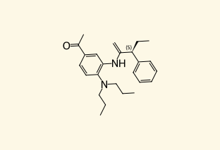 C=C(Nc1cc(C(C)=O)ccc1N(CCC)CCC)[C@@H](CC)c1ccccc1